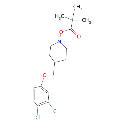 CC(C)(C)C(=O)ON1CCC(COc2ccc(Cl)c(Cl)c2)CC1